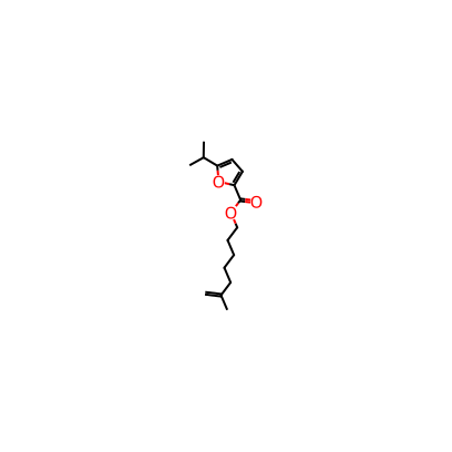 C=C(C)CCCCCOC(=O)c1ccc(C(C)C)o1